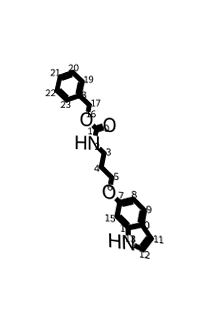 O=C(NCCCOc1ccc2cc[nH]c2c1)OCc1ccccc1